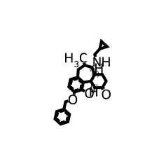 CC1Cc2ccc(OCc3ccccc3)c3c2C2[C@H](O3)C(=O)CC[C@@H]2[C@H]1NCC1CC1